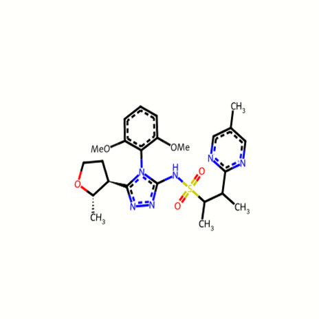 COc1cccc(OC)c1-n1c(NS(=O)(=O)C(C)C(C)c2ncc(C)cn2)nnc1[C@@H]1CCO[C@H]1C